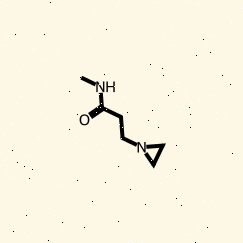 CNC(=O)CCN1CC1